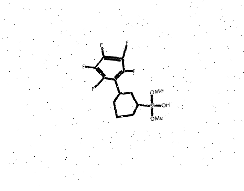 CO[Si](O)(OC)C1CCCC(c2c(F)c(F)c(F)c(F)c2F)C1